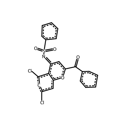 O=C(c1ccccc1)c1cc(=NS(=O)(=O)c2ccccc2)c2c(Cl)cc(Cl)cc2o1